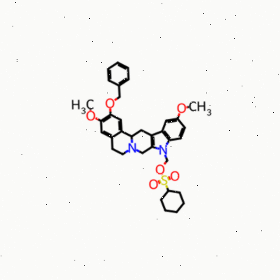 COc1ccc2c(c1)c1c(n2COS(=O)(=O)C2CCCCC2)CN2CCc3cc(OC)c(OCc4ccccc4)cc3C2C1